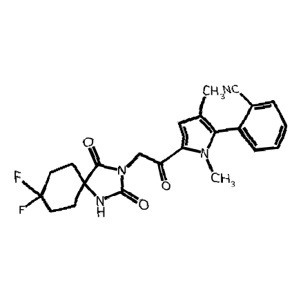 Cc1cc(C(=O)CN2C(=O)NC3(CCC(F)(F)CC3)C2=O)n(C)c1-c1ccccc1C#N